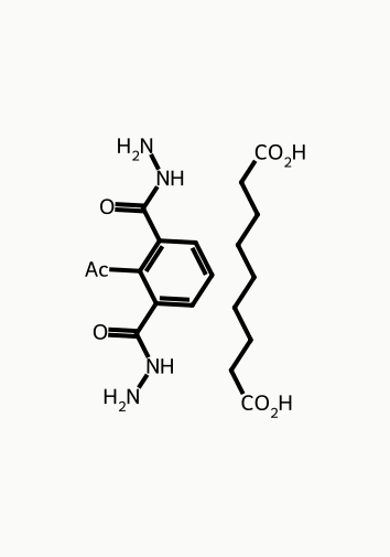 CC(=O)c1c(C(=O)NN)cccc1C(=O)NN.O=C(O)CCCCCCCC(=O)O